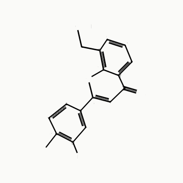 O=C(O)Cc1cccc2c(=O)cc(-c3ccc(F)c(F)c3)oc12